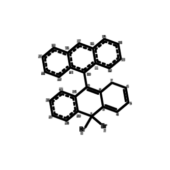 BrC1(Br)C2=CC=CCC2=C(c2c3ccccc3cc3ccccc23)c2ccccc21